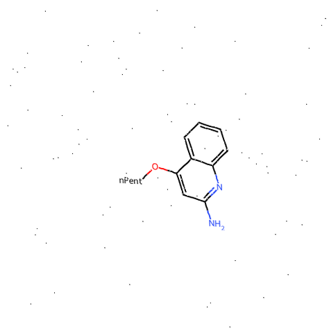 CCCCCOc1cc(N)nc2ccccc12